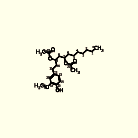 CCCCCCCC(CC(CCc1ccc(O)c(OC)c1)OC(C)=O)OC(C)=O